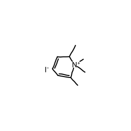 CC1=CC=CC(C)[N+]1(C)C.[I-]